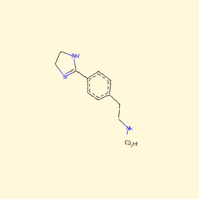 O=C(O)NCCc1ccc(C2=NCCN2)cc1